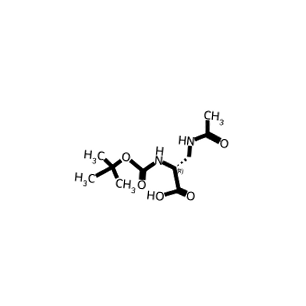 CC(=O)NC[C@@H](NC(=O)OC(C)(C)C)C(=O)O